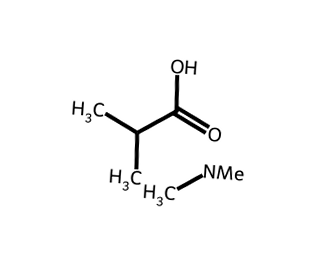 CC(C)C(=O)O.CNC